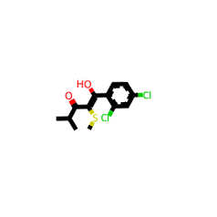 CS/C(C(=O)C(C)C)=C(/O)c1ccc(Cl)cc1Cl